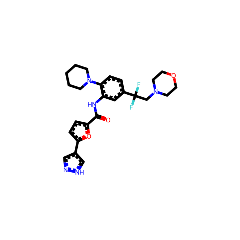 O=C(Nc1cc(C(F)(F)CN2CCOCC2)ccc1N1CCCCC1)c1ccc(-c2cn[nH]c2)o1